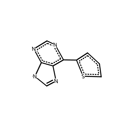 C1=Nc2c(ncnc2-c2cccs2)[N]1